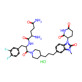 Cl.Cn1c(=O)n(C2CCC(=O)NC2=O)c2ccc(CCCC3CCN(C(=O)C(Cc4ccc(F)c(F)c4)NC(=O)C(N)CCC(N)=O)CC3)cc21